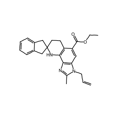 C=CCn1c(C)nc2c3c(c(C(=O)OCC)cc21)CCC1(Cc2ccccc2C1)N3